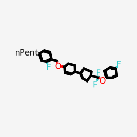 CCCCCc1ccc(COC2C=CC(C3CCC(C(F)(F)Oc4ccc(F)cc4)CC3)CC2)c(F)c1